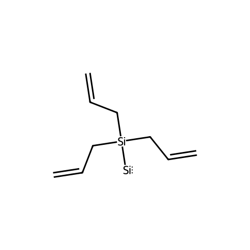 C=CC[Si]([Si])(CC=C)CC=C